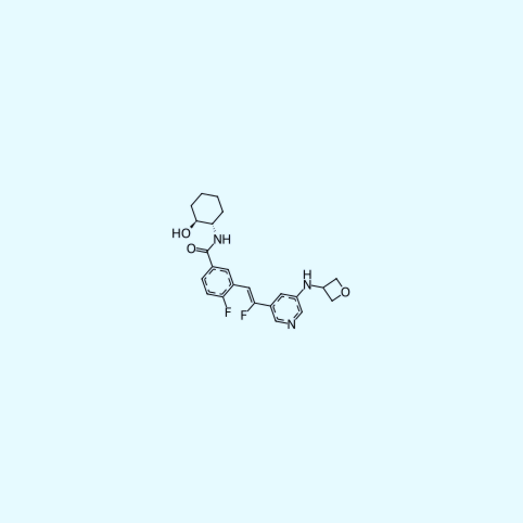 O=C(N[C@H]1CCCC[C@@H]1O)c1ccc(F)c(/C=C(\F)c2cncc(NC3COC3)c2)c1